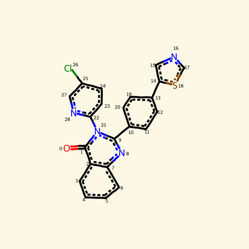 O=c1c2ccccc2nc(-c2ccc(-c3cncs3)cc2)n1-c1ccc(Cl)cn1